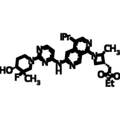 CCS(=O)(=O)C[C@@H]1CN(c2ncc(C(C)C)c3cc(Nc4ccnc(N5CC[C@@H](O)[C@@](C)(F)C5)n4)ncc23)[C@H]1C